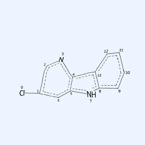 Clc1cnc2c(c1)[nH]c1ccccc12